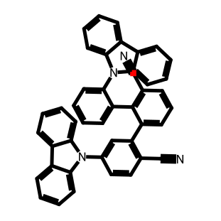 N#Cc1ccc(-n2c3ccccc3c3ccccc32)cc1-c1cccc(C#N)c1-c1ccccc1-n1c2ccccc2c2ccccc21